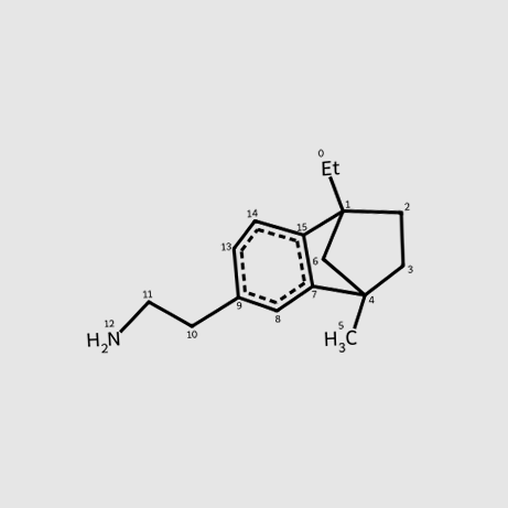 CCC12CCC(C)(C1)c1cc(CCN)ccc12